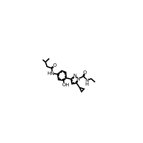 CCNC(=O)n1nc(-c2ccc(NC(=O)CC(C)C)cc2O)cc1C1CC1